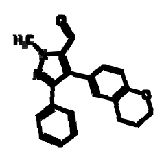 Cn1nc(-c2ccccc2)c(-c2ccc3c(c2)CCCO3)c1C=O